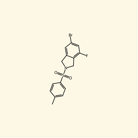 Cc1ccc(S(=O)(=O)N2Cc3cc(Br)cc(F)c3C2)cc1